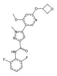 COc1cc(OC2COC2)ncc1-c1cc(C(=O)Nc2c(F)cccc2F)nn1C